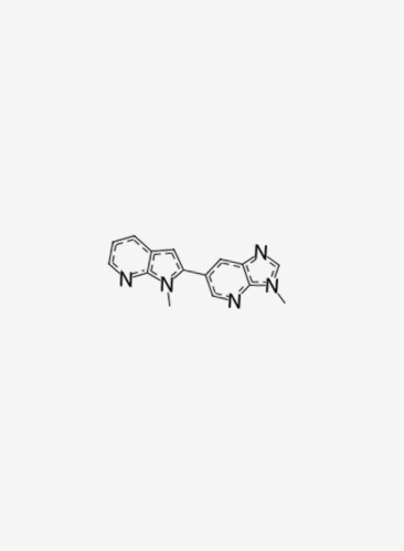 Cn1cnc2cc(-c3cc4cccnc4n3C)cnc21